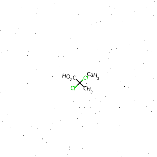 CC(Cl)(Cl)C(=O)O.[CaH2]